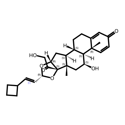 C[C@]12C=CC(=O)C=C1CC[C@@H]1[C@@H]2[C@@H](O)C[C@@]2(C)[C@H]1C[C@H]1O[C@@H](/C=C/C3CCC3)O[C@]12C(=O)CO